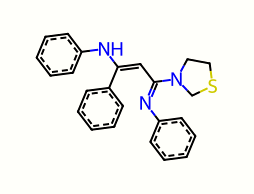 C(=C(Nc1ccccc1)c1ccccc1)C(=Nc1ccccc1)N1CCSC1